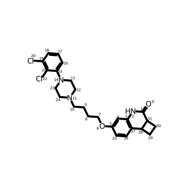 O=C1Nc2cc(OCCCCN3CCN(c4cccc(Cl)c4Cl)CC3)ccc2C2CCC12